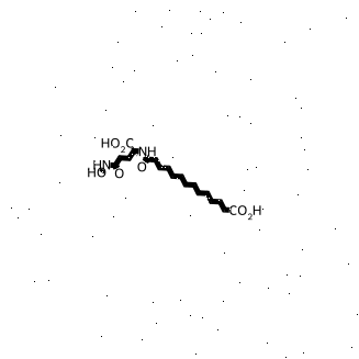 O=C(O)CCCCCCCCCCCCC(=O)N[C@@H](CCC(=O)NO)C(=O)O